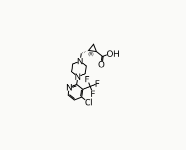 O=C(O)C1C[C@H]1CN1CCN(c2nccc(Cl)c2C(F)(F)F)CC1